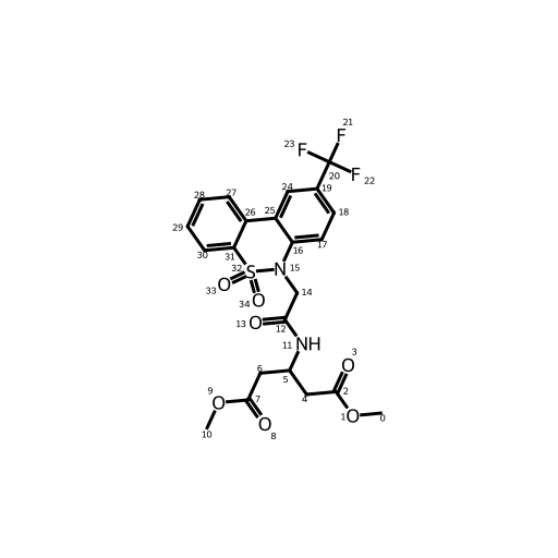 COC(=O)CC(CC(=O)OC)NC(=O)CN1c2ccc(C(F)(F)F)cc2-c2ccccc2S1(=O)=O